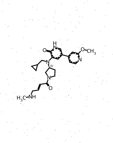 CNCC=CC(=O)N1CC[C@H](N(CC2CC2)c2cc(-c3ccnc(OC)c3)c[nH]c2=O)C1